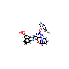 Oc1cc(-c2nc3c4c(nc(OC[C@@]56CCCN5C[C@H](F)C6)nc4c2F)N2C[C@@H]4CC[C@@H](N4)[C@H]2CO3)c2c(F)cccc2c1